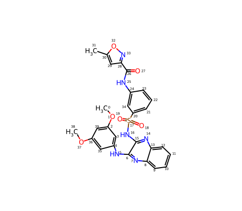 COc1cc(Nc2nc3ccccc3nc2NS(=O)(=O)c2cccc(NC(=O)c3cc(C)on3)c2)cc(OC)c1